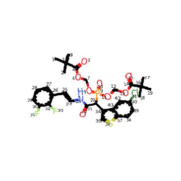 CC(C)(C)C(=O)OCOP(=O)(OCOC(=O)C(C)(C)C)C(C(=O)NC=Cc1cccc(F)c1F)c1csc2ccc(Cl)cc12